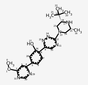 COc1cc(-c2ccc(-c3cnc(N4C[C@@H](C)N[C@@H](C(C)(C)C)C4)nn3)c(O)c2)ncn1